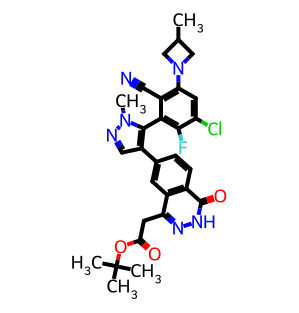 CC1CN(c2cc(Cl)c(F)c(-c3c(-c4ccc5c(=O)[nH]nc(CC(=O)OC(C)(C)C)c5c4)cnn3C)c2C#N)C1